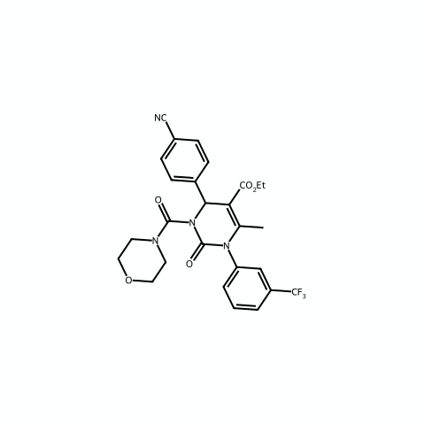 CCOC(=O)C1=C(C)N(c2cccc(C(F)(F)F)c2)C(=O)N(C(=O)N2CCOCC2)C1c1ccc(C#N)cc1